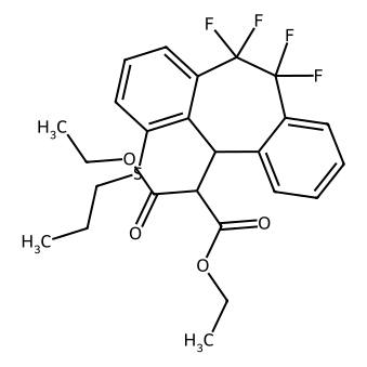 CCCSc1cccc2c1C(C(C(=O)OCC)C(=O)OCC)c1ccccc1C(F)(F)C2(F)F